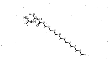 CCCCCCCCCCCCCCCCCC(=O)NC(CC)NC(C)O